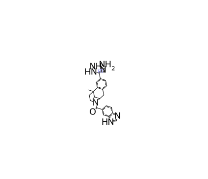 CC1C2Cc3ccc(/C(=N/N)NN)cc3C1(C)CCN2C(=O)c1ccc2nc[nH]c2c1